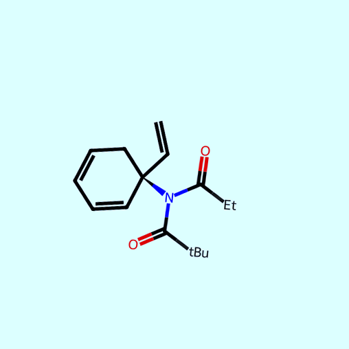 C=C[C@]1(N(C(=O)CC)C(=O)C(C)(C)C)C=CC=CC1